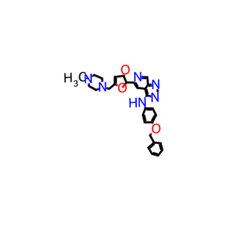 CN1CCN(CC2=CC(=O)C(c3cc4c(Nc5ccc(OCc6ccccc6)cc5)ncnc4cn3)O2)CC1